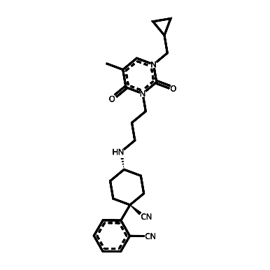 Cc1cn(CC2CC2)c(=O)n(CCCN[C@H]2CC[C@@](C#N)(c3ccccc3C#N)CC2)c1=O